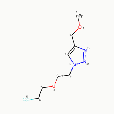 CCCOCc1cn(CCOCC[18F])nn1